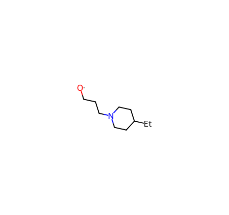 CCC1CCN(CCC[O])CC1